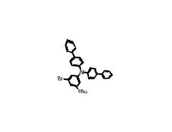 CC(C)(C)c1cc(Br)cc(N(c2ccc(-c3ccccc3)cc2)c2ccc(-c3ccccc3)cc2)c1